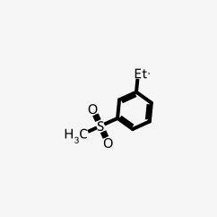 C[CH]c1cccc(S(C)(=O)=O)c1